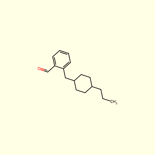 CCCC1CCC(Cc2ccccc2C=O)CC1